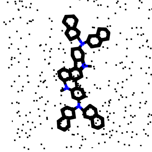 CN1c2cc(N(c3ccc4ccccc4c3)c3ccc4ccccc4c3)ccc2-c2cc3c(c4cccc1c24)c1ccc(N(c2ccc4ccccc4c2)c2ccc4ccccc4c2)cc1n3C